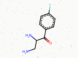 NCC(N)C(=O)c1ccc(F)cc1